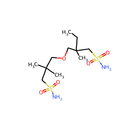 CCC(C)(COCC(C)(C)CS(N)(=O)=O)CS(N)(=O)=O